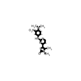 Cc1c(-c2ccnc(Nc3ccc(N(C)C)c([N+](=O)[O-])c3)n2)sc(=O)n1C